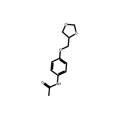 CC(=O)Nc1ccc(OCC2COCO2)cc1